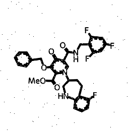 COC(=O)c1c(OCc2ccccc2)c(=O)c(C(=O)NCc2c(F)cc(F)cc2F)cn1C1CCc2c(F)cccc2NC1